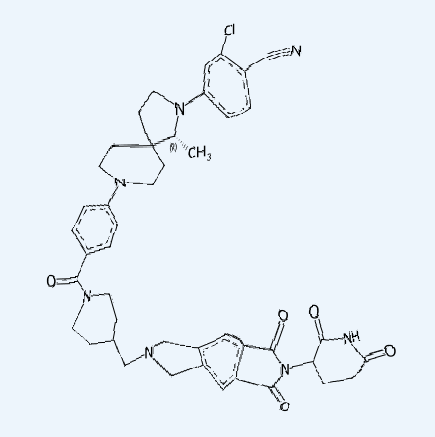 C[C@H]1N(c2ccc(C#N)c(Cl)c2)CCC12CCN(c1ccc(C(=O)N3CCC(CN4Cc5cc6c(cc5C4)C(=O)N(C4CCC(=O)NC4=O)C6=O)CC3)cc1)CC2